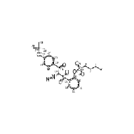 CCCCS(=O)(=O)Oc1ccccc1S(=O)(=O)C(=[N+]=[N-])C(=O)c1ccc(OC(C)(C)C)cc1